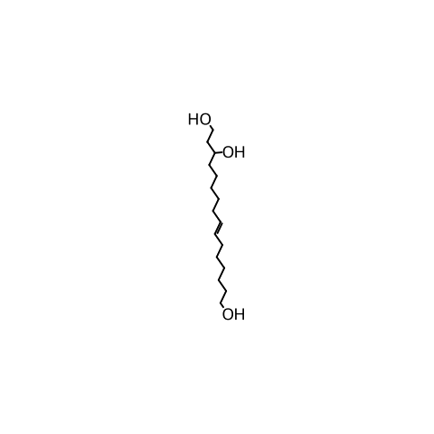 OCCCCCC/C=C/CCCCCC(O)CCO